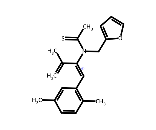 C=C(C)/C(=C\c1cc(C)ccc1C)N(Cc1ccco1)C(C)=S